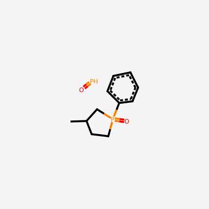 CC1CCP(=O)(c2ccccc2)C1.O=P